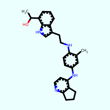 Cc1cc(Nc2ccnc3c2CCC3)ccc1NCCc1c[nH]c2c(C(C)O)cccc12